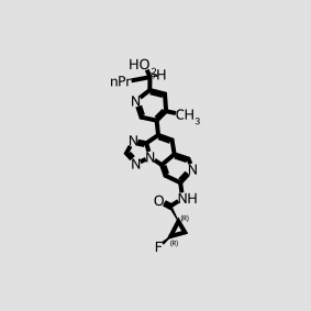 [2H][C@@](O)(CCC)c1cc(C)c(-c2cc3cnc(NC(=O)[C@H]4C[C@H]4F)cc3n3ncnc23)cn1